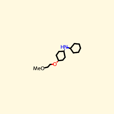 COCCO[C@H]1CC[C@H](NC2CCCCC2)CC1